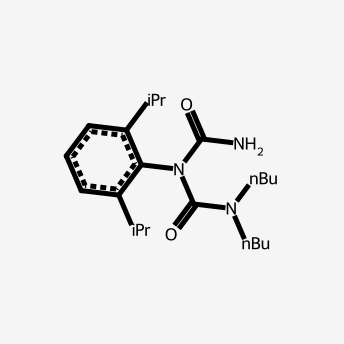 CCCCN(CCCC)C(=O)N(C(N)=O)c1c(C(C)C)cccc1C(C)C